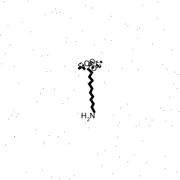 C[Si](C)(C)OP(=O)(CCCCCCCCCCCCN)O[Si](C)(C)C